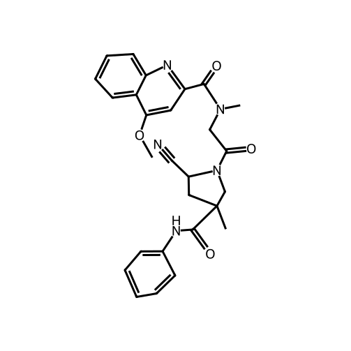 COc1cc(C(=O)N(C)CC(=O)N2CC(C)(C(=O)Nc3ccccc3)CC2C#N)nc2ccccc12